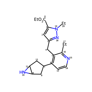 CCOC(=O)c1cc(Cc2c(C3CC4NC4C3)ccnc2CC)nn1CC